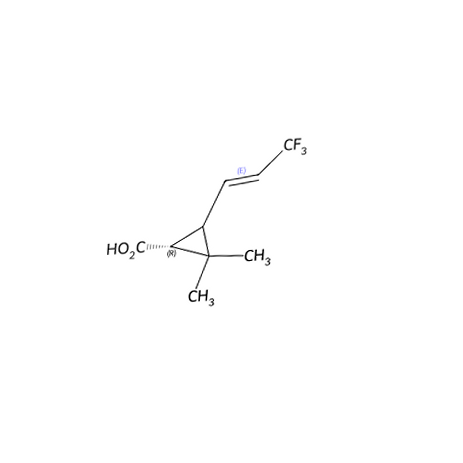 CC1(C)C(/C=C/C(F)(F)F)[C@H]1C(=O)O